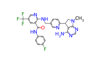 CN1CC(c2ccc(CNc3ncc(C(F)(F)F)cc3C(=O)Nc3ccc(F)cc3)cn2)c2c(N)ncnc21